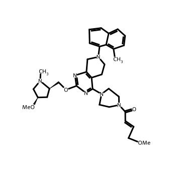 COC/C=C/C(=O)N1CCN(c2nc(OC[C@H]3C[C@@H](OC)CN3C)nc3c2CCN(c2cccc4cccc(C)c24)C3)CC1